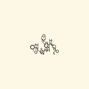 C=CC(=O)N1CC[C@H](Nc2nc(CN3CCOCC3)cc(Nc3ncc(C(=O)Nc4c(C)cccc4C)s3)n2)C1